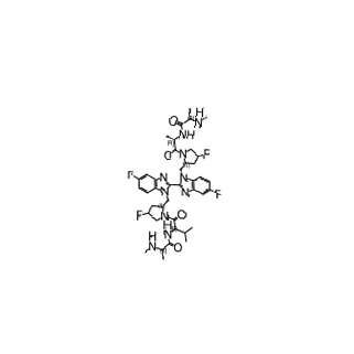 CN[C@H](C)C(=O)N[C@H](C)C(=O)N1CC(F)C[C@H]1Cn1c(-c2nc3cc(F)ccc3n2C[C@@H]2CC(F)CN2C(=O)[C@H](NC(=O)[C@@H](C)NC)C(C)C)nc2cc(F)ccc21